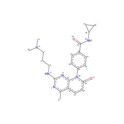 Cc1nc(NCCCN(C)C)nc2c1ccc(=O)n2-c1ccc(C(=O)NC2CC2)cc1